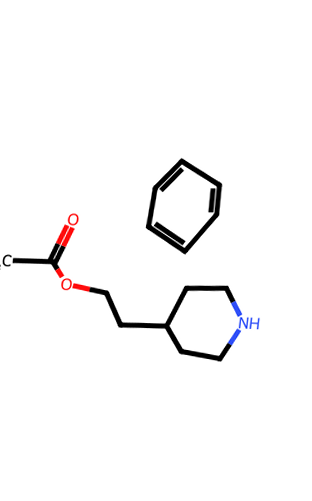 CC(=O)OCCC1CCNCC1.c1ccccc1